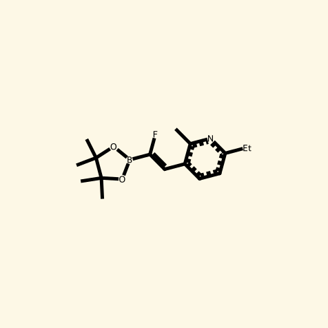 CCc1ccc(/C=C(\F)B2OC(C)(C)C(C)(C)O2)c(C)n1